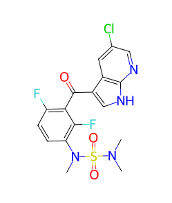 CN(C)S(=O)(=O)N(C)c1ccc(F)c(C(=O)c2c[nH]c3ncc(Cl)cc23)c1F